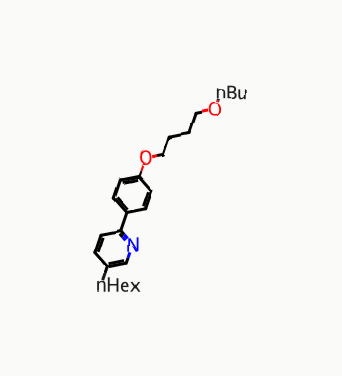 CCCCCCc1ccc(-c2ccc(OCCCCOCCCC)cc2)nc1